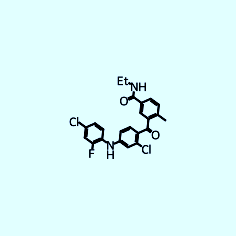 CCNC(=O)c1ccc(C)c(C(=O)c2ccc(Nc3ccc(Cl)cc3F)cc2Cl)c1